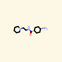 N[C@H]1CC[C@H](C(=O)NCCN2CCCCC2)CC1